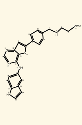 CNCCNCc1ccc(-c2cc3ncnc(Nc4ccc5[nH]ccc5c4)c3s2)cc1